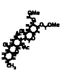 COCOc1cc2occ(-c3c(C(C)=O)cc4c(=O)c5ccc(C)cc5oc4c3C(C)=O)c(=O)c2cc1OCOC